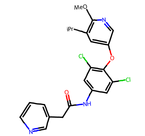 COc1ncc(Oc2c(Cl)cc(NC(=O)Cc3cccnc3)cc2Cl)cc1C(C)C